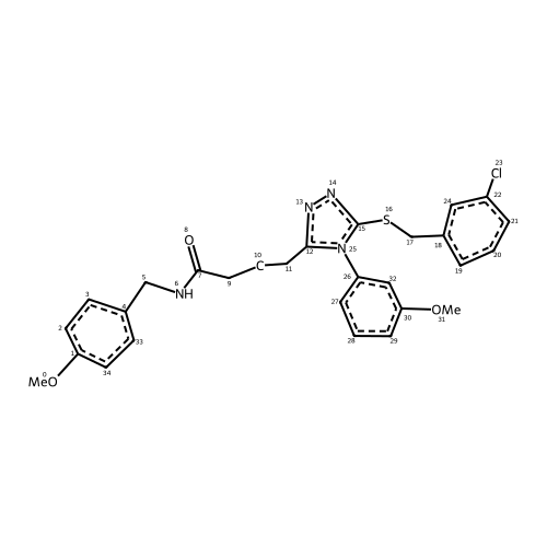 COc1ccc(CNC(=O)CCCc2nnc(SCc3cccc(Cl)c3)n2-c2cccc(OC)c2)cc1